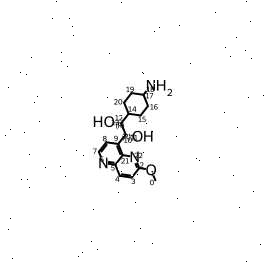 COc1ccc2nccc([C@@H](O)[C@H](O)C3CCC(N)CC3)c2n1